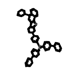 c1ccc(-c2ccc(N(c3ccc(-c4ccccc4)cc3)c3ccc(-c4ccc5c(c4)oc4c6ccccc6c(-c6ccccc6)cc54)cc3)cc2)cc1